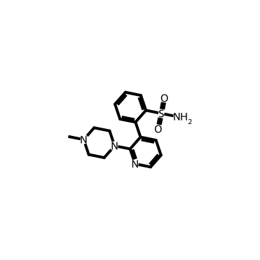 CN1CCN(c2ncccc2-c2ccccc2S(N)(=O)=O)CC1